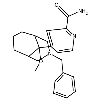 COC1(c2ccnc(C(N)=O)c2)C2CCCC1CN(Cc1ccccc1)C2